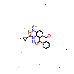 CC(=O)N(Cl)c1ccc2c(c1NC(=O)C1CC1)C(=O)c1ccccc1C2=O